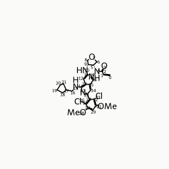 C=CC(=O)N[C@H]1COC[C@H]1Nc1cc2c(NCC3CCCC3)nc(-c3c(Cl)c(OC)cc(OC)c3Cl)cc2cn1